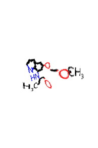 C/C=C(/C=O)Nc1cc(OCCOC)cc2cccnc12